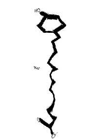 O=C([O-])CCCCCCCCCCCc1ccc(O)cc1.[Na+]